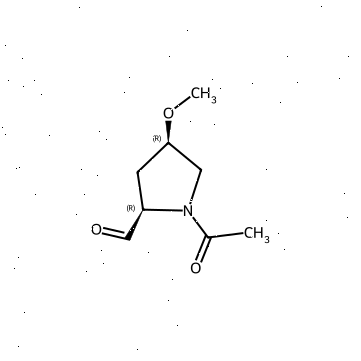 CO[C@@H]1C[C@H](C=O)N(C(C)=O)C1